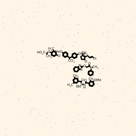 CC/C=C/CC1=C(C)CCC1=O.CN(C(=O)COc1nc2ccccc2s1)c1ccccc1.COc1ccc(C(c2ccc(OC)cc2)C(Cl)(Cl)Cl)cc1.COc1cccc(C(=O)NN(C(=O)c2cc(C)cc(C)c2)C(C)(C)C)c1C.Cc1cc(Cl)ccc1O[C@H](C)C(=O)O